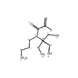 C=C(C)C(=O)N(CCCS(=O)(=O)O)C(CO)(CO)CO